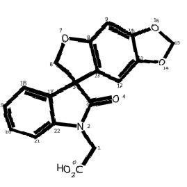 O=C(O)CN1C(=O)C2(COc3cc4c(cc32)OCO4)c2ccccc21